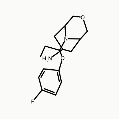 CCC(Oc1ccc(F)cc1)N1C2COCC1CC(N)C2